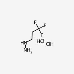 Cl.Cl.NNCCC(F)(F)F